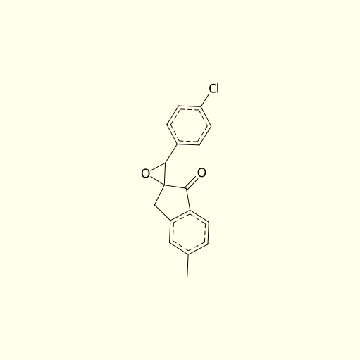 Cc1ccc2c(c1)CC1(OC1c1ccc(Cl)cc1)C2=O